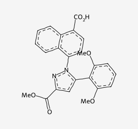 COC(=O)c1cc(-c2c(OC)cccc2OC)n(-c2ccc(C(=O)O)c3ccccc23)n1